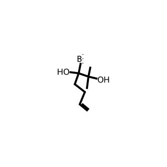 C=CCCC(C)(O)C(C)(C)O.[B]